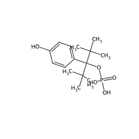 CC(C)(C)C(OP(=O)(O)O)(c1ccc(O)cc1)C(C)(C)C